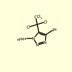 CCCCCCn1nnc(C(C)C)c1C(Cl)(Cl)C(Cl)(Cl)Cl